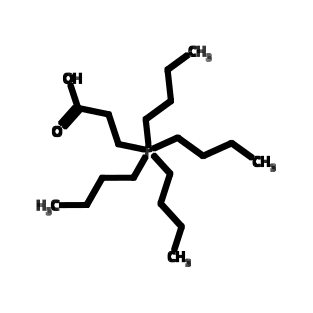 CCCCP(CCCC)(CCCC)(CCCC)CCC(=O)O